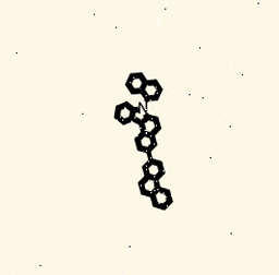 c1ccc2c(-n3c4ccccc4c4c5ccc(-c6ccc7c(ccc8ccccc87)c6)cc5ccc43)cccc2c1